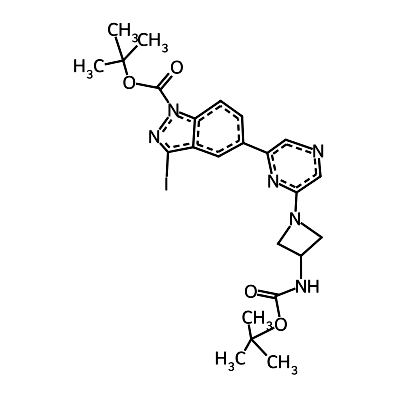 CC(C)(C)OC(=O)NC1CN(c2cncc(-c3ccc4c(c3)c(I)nn4C(=O)OC(C)(C)C)n2)C1